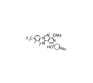 COc1nc(C2(O)CCN(C(C)=O)CC2)cc2c(=NC(C)c3cccc(C(F)(F)F)c3C)ncn(C)c12